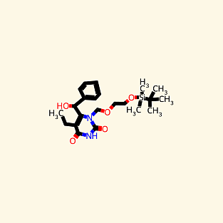 CCc1c(C(O)c2ccccc2)n(COCCO[Si](C)(C)C(C)(C)C)c(=O)[nH]c1=O